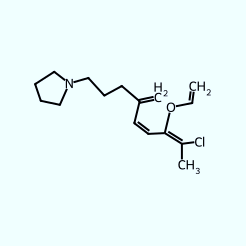 C=COC(/C=C\C(=C)CCCN1CCCC1)=C(/C)Cl